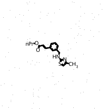 CCCOC(=O)/C=C/c1cccc(CNc2nc(C)cs2)c1